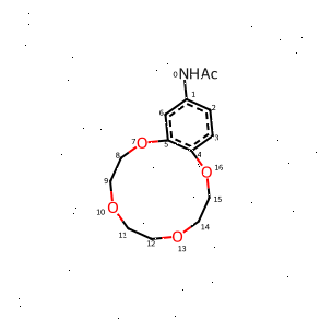 CC(=O)Nc1ccc2c(c1)OCCOCCOCCO2